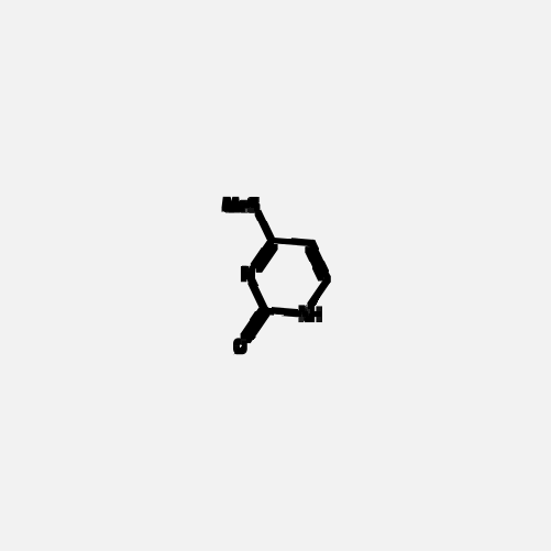 CSc1cc[nH]c(=O)n1